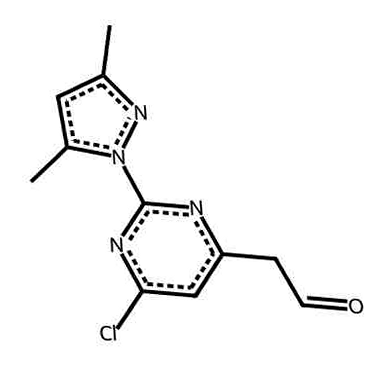 Cc1cc(C)n(-c2nc(Cl)cc(CC=O)n2)n1